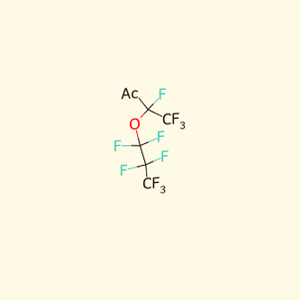 CC(=O)C(F)(OC(F)(F)C(F)(F)C(F)(F)F)C(F)(F)F